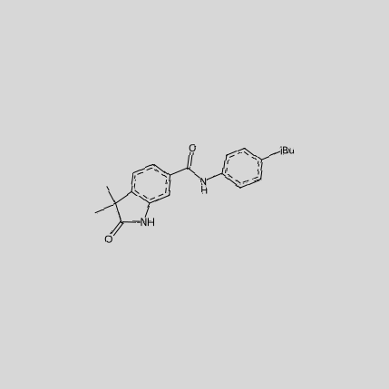 CCC(C)c1ccc(NC(=O)c2ccc3c(c2)NC(=O)C3(C)C)cc1